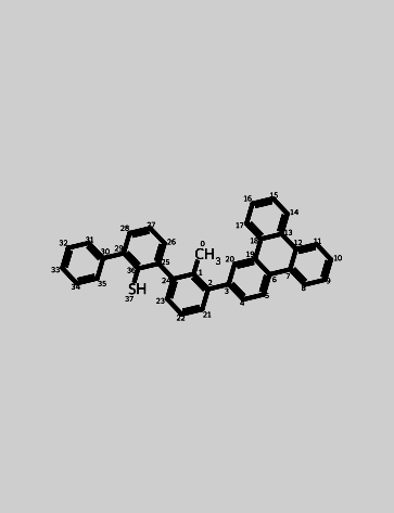 Cc1c(-c2ccc3c4ccccc4c4ccccc4c3c2)cccc1-c1cccc(-c2ccccc2)c1S